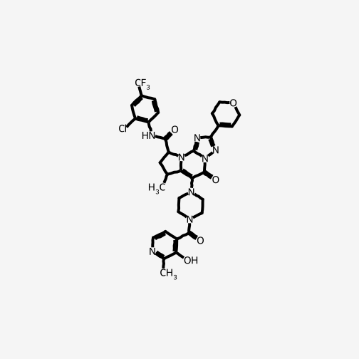 Cc1nccc(C(=O)N2CCN(c3c4n(c5nc(C6=CCOCC6)nn5c3=O)C(C(=O)Nc3ccc(C(F)(F)F)cc3Cl)CC4C)CC2)c1O